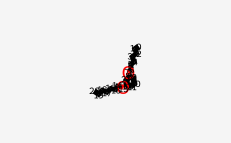 C=CCCCCCOc1cccc(OCCCCCC=C)c1